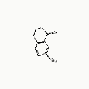 CCC(C)c1ccc2c(c1)C(=O)CCS2